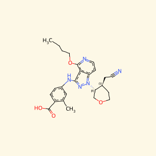 CCCCOc1nccc2c1c(Nc1ccc(C(=O)O)c(C)c1)nn2[C@H]1COCC[C@@H]1CC#N